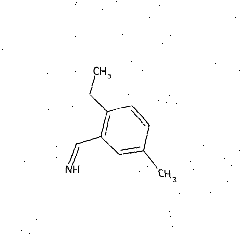 CCc1ccc(C)cc1C=N